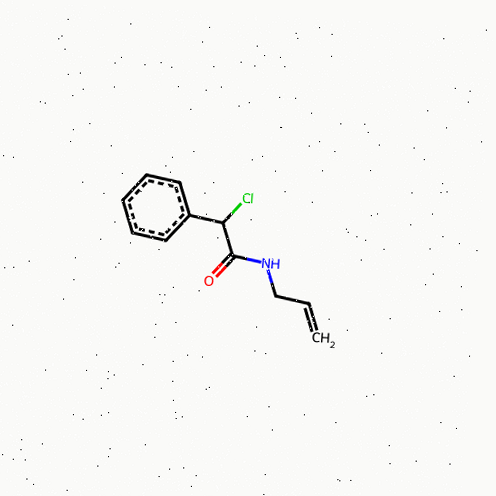 C=CCNC(=O)C(Cl)c1ccccc1